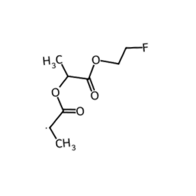 C[CH]C(=O)OC(C)C(=O)OCCF